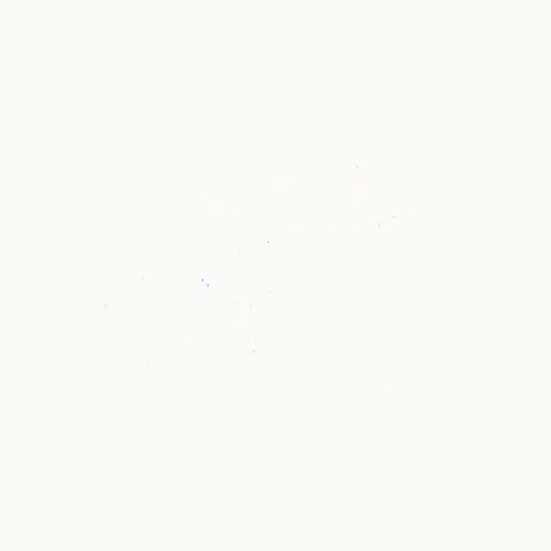 CC1(C(=O)O)C=C(C(=O)O)C(c2ccccc2)(c2ccccc2)C=C1C(=O)Nc1ccccc1